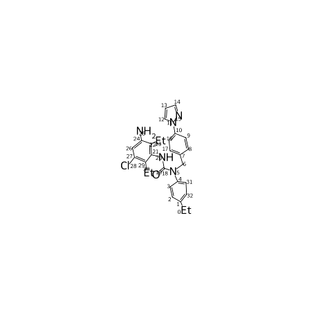 CCc1ccc(N(Cc2ccc(-n3cccn3)cc2)C(=O)Nc2c(CC)c(N)cc(Cl)c2CC)cc1